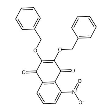 O=C1C(OCc2ccccc2)=C(OCc2ccccc2)C(=O)c2c1cccc2[N+](=O)[O-]